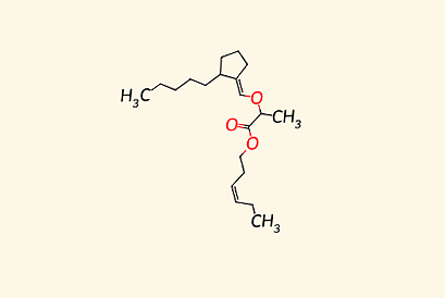 CC/C=C\CCOC(=O)C(C)OC=C1CCCC1CCCCC